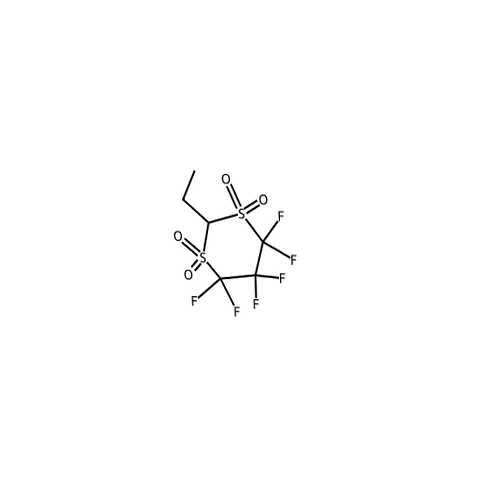 CCC1S(=O)(=O)C(F)(F)C(F)(F)C(F)(F)S1(=O)=O